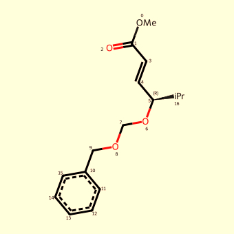 COC(=O)C=C[C@H](OCOCc1ccccc1)C(C)C